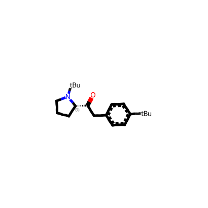 CC(C)(C)c1ccc(CC(=O)[C@@H]2CCCN2C(C)(C)C)cc1